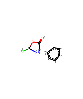 O=C1O[C@H](Cl)N[C@H]1c1ccccc1